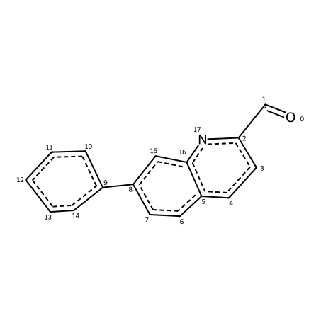 O=[C]c1ccc2ccc(-c3ccccc3)cc2n1